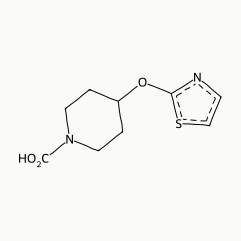 O=C(O)N1CCC(Oc2nccs2)CC1